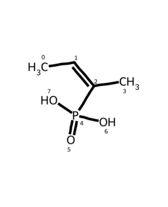 CC=C(C)P(=O)(O)O